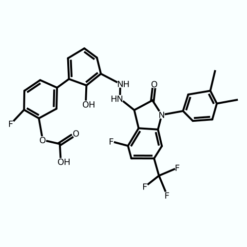 Cc1ccc(N2C(=O)C(NNc3cccc(-c4ccc(F)c(OC(=O)O)c4)c3O)c3c(F)cc(C(F)(F)F)cc32)cc1C